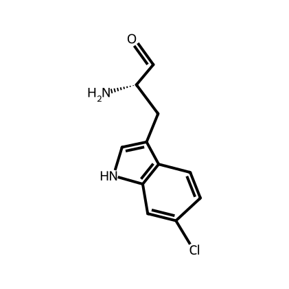 N[C@H](C=O)Cc1c[nH]c2cc(Cl)ccc12